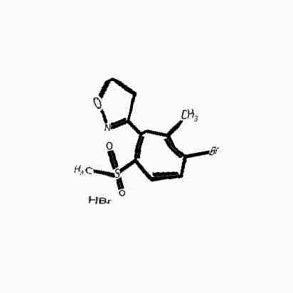 Br.Cc1c(Br)ccc(S(C)(=O)=O)c1C1=NOCC1